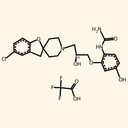 NC(=O)Nc1ccc(O)cc1OC[C@@H](O)CN1CCC2(CC1)Cc1cc(Cl)ccc1O2.O=C(O)C(F)(F)F